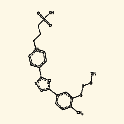 Cc1ccc(-c2cnc(-c3cc[n+](CCCS(=O)(=O)O)cc3)o2)cc1SOOO